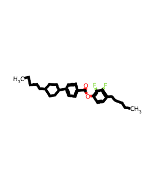 CCCCCc1ccc(OC(=O)c2ccc(C3CCC(CCCCC)CC3)cc2)c(F)c1F